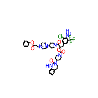 Nc1c(Cl)cc(C[C@@H](OC(=O)N2CCC(N3CCc4ccccc4NC3=O)CC2)C(=O)N2CCC(N3CCN(CCC(=O)Oc4ccccc4)CC3)CC2)cc1C(F)(F)F